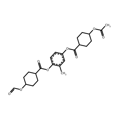 CC(=O)OC1CCC(C(=O)Oc2ccc(OC(=O)C3CCC(OC=O)CC3)c(C)c2)CC1